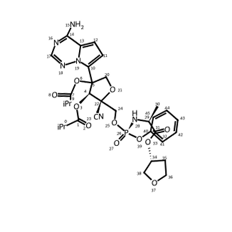 CC(C)C(=O)O[C@H]1C(OC(=O)C(C)C)(c2ccc3c(N)ncnn23)CO[C@]1(C#N)CO[P@](=O)(N[C@@H](C)C(=O)O[C@@H]1CCOC1)Oc1ccccc1